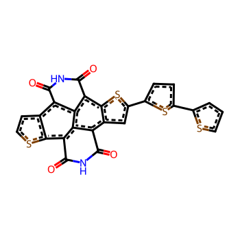 O=C1NC(=O)c2c3sc(-c4ccc(-c5cccs5)s4)cc3c3c4c(c5sccc5c1c24)C(=O)NC3=O